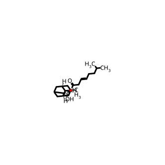 CC(C)CC/C=C/CC(=O)NC1[C@@H]2CC3C[C@H]1C[C@](C)(C2)N3O